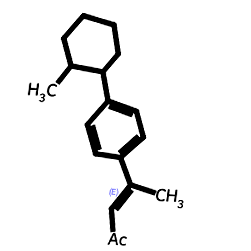 CC(=O)/C=C(\C)c1ccc(C2CCCCC2C)cc1